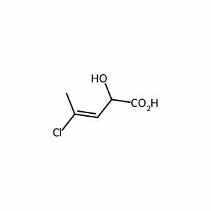 C/C(Cl)=C\C(O)C(=O)O